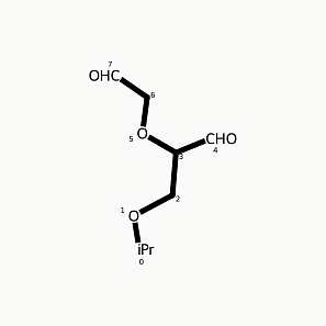 CC(C)OCC(C=O)OCC=O